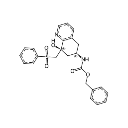 O=C(N[C@@H]1Cc2cccnc2[C@@](O)(CS(=O)(=O)c2ccccc2)C1)OCc1ccccc1